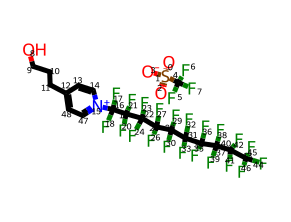 O=S(=O)([O-])C(F)(F)F.OCCCc1cc[n+](C(F)(F)C(F)(F)C(F)(F)C(F)(F)C(F)(F)C(F)(F)C(F)(F)C(F)(F)C(F)(F)C(F)(F)F)cc1